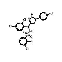 O=S(=O)(NC(C1=NNC(c2ccc(Cl)cc2)C1)c1ccc(Cl)cc1Cl)c1cccc(Cl)c1F